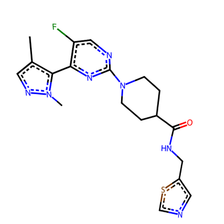 Cc1cnn(C)c1-c1nc(N2CCC(C(=O)NCc3cncs3)CC2)ncc1F